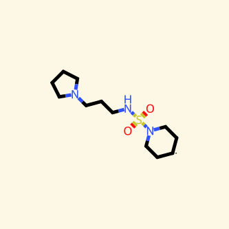 O=S(=O)(NCCCN1CCCC1)N1CC[CH]CC1